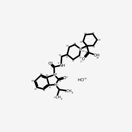 CC(C)n1c(=O)n(C(=O)NCC2CCN(C3(C(=O)O)CCCCC3)CC2)c2ccccc21.Cl